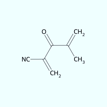 C=C(C)C(=O)C(=C)C#N